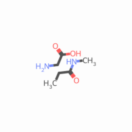 CCC(=O)NC.NCC(=O)O